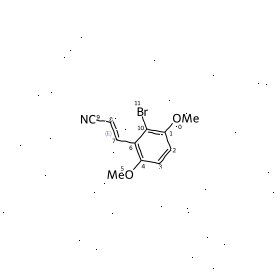 COc1ccc(OC)c(/C=C/C#N)c1Br